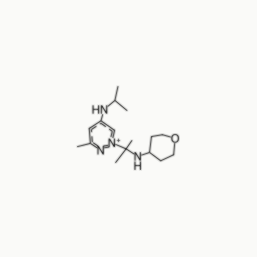 Cc1cc(NC(C)C)c[n+](C(C)(C)NC2CCOCC2)n1